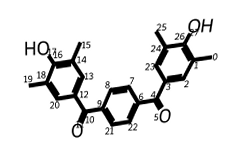 Cc1cc(C(=O)c2ccc(C(=O)c3cc(C)c(O)c(C)c3)cc2)cc(C)c1O